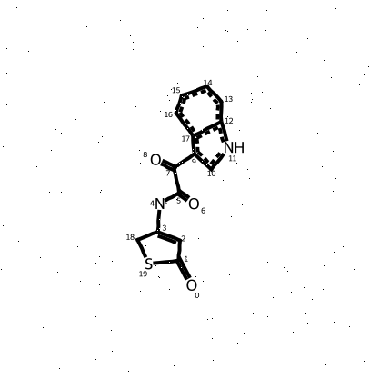 O=C1C=C([N]C(=O)C(=O)c2c[nH]c3ccccc23)CS1